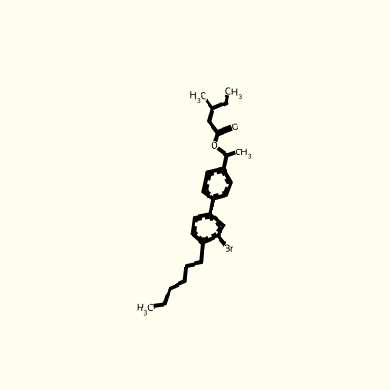 CCCCCCc1ccc(-c2ccc(C(C)OC(=O)CC(C)CC)cc2)cc1Br